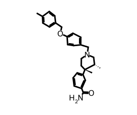 Cc1ccc(COc2ccc(CN3CC[C@@](C)(c4cccc(C(N)=O)c4)[C@@H](C)C3)cc2)cc1